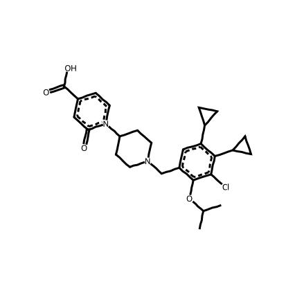 CC(C)Oc1c(CN2CCC(n3ccc(C(=O)O)cc3=O)CC2)cc(C2CC2)c(C2CC2)c1Cl